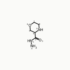 NNC(=O)C1COCCN1